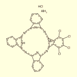 Cl.Clc1c(Cl)c(Cl)c2c3nc4nc(nc5[nH]c(nc6nc(nc([nH]3)c2c1Cl)-c1ccccc1-6)c1ccccc51)-c1ccccc1-4.[AlH3]